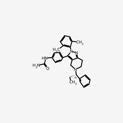 CC[C@@H](c1ccccc1)N1CCc2nn(-c3c(C)cccc3C)c(-c3ccc(NC(N)=O)cc3)c2C1